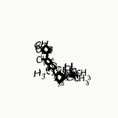 C=C1Oc2cc(-c3cccc(OC)c3)c(Cl)cc2C(C)=C1Cc1cccc(NS(=O)(=O)N(C)C)c1